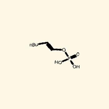 CCCC/C=C/OP(=O)(O)O